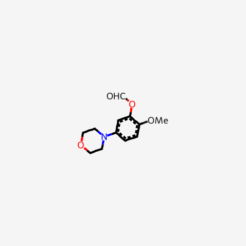 COc1ccc(N2CCOCC2)cc1OC=O